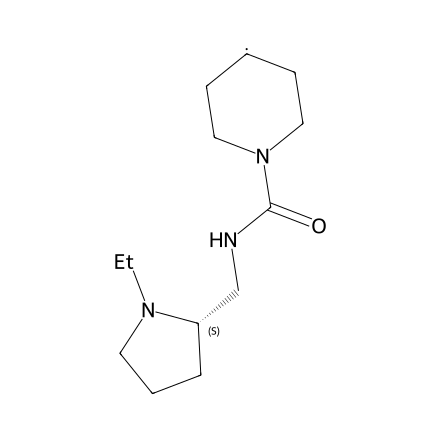 CCN1CCC[C@H]1CNC(=O)N1CC[CH]CC1